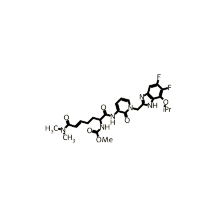 COC(=O)NC(CCC=CC(=O)N(C)C)C(=O)Nc1cccn(Cc2nc3cc(F)c(F)c(OC(C)C)c3[nH]2)c1=O